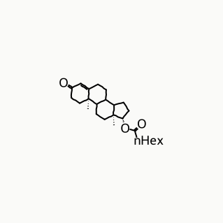 CCCCCCC(=O)O[C@H]1CCC2C3CCC4=CC(=O)CC[C@]4(C)C3CC[C@@]21C